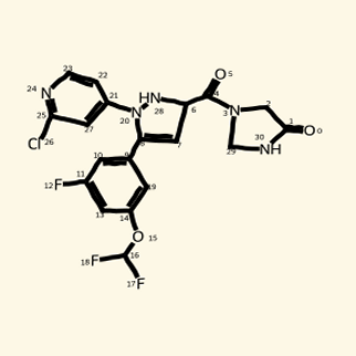 O=C1CN(C(=O)C2C=C(c3cc(F)cc(OC(F)F)c3)N(c3ccnc(Cl)c3)N2)CN1